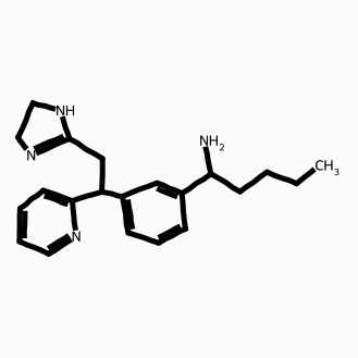 CCCCC(N)c1cccc(C(CC2=NCCN2)c2ccccn2)c1